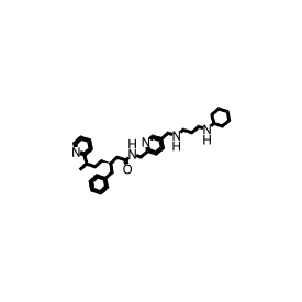 CC(CC[C@@H](CC(=O)NCc1ccc(CNCCCNC2CCCCC2)cn1)Cc1ccccc1)c1ccccn1